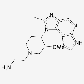 COC1CN(CCN)CCC1n1c(C)nc2cnc3[nH]ccc3c21